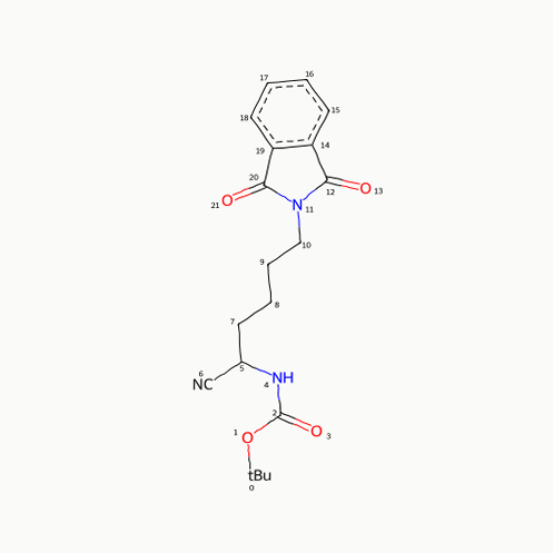 CC(C)(C)OC(=O)NC(C#N)CCCCN1C(=O)c2ccccc2C1=O